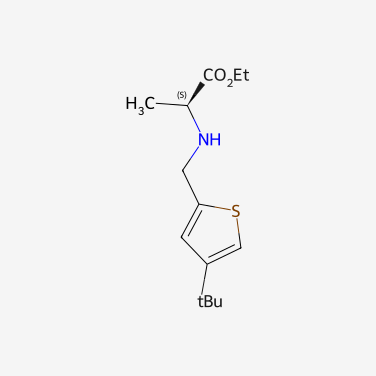 CCOC(=O)[C@H](C)NCc1cc(C(C)(C)C)cs1